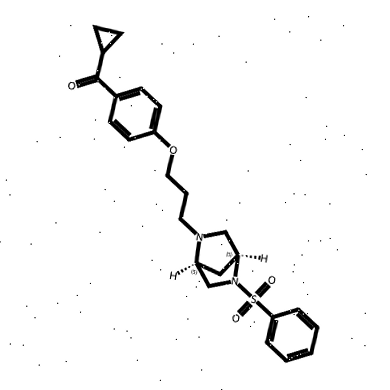 O=C(c1ccc(OCCCN2C[C@@H]3C[C@H]2CN3S(=O)(=O)c2ccccc2)cc1)C1CC1